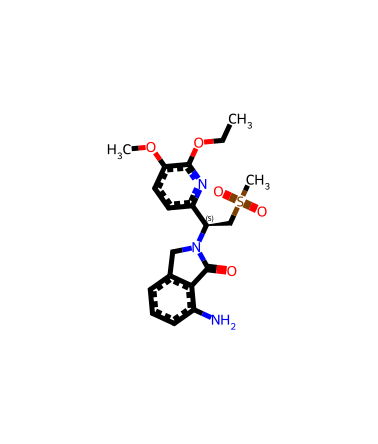 CCOc1nc([C@@H](CS(C)(=O)=O)N2Cc3cccc(N)c3C2=O)ccc1OC